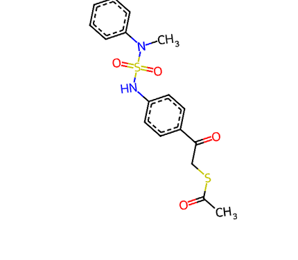 CC(=O)SCC(=O)c1ccc(NS(=O)(=O)N(C)c2ccccc2)cc1